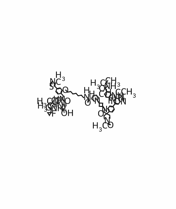 CC(=O)N1CCC2(CC1)C(=O)N(C1CC(N3CCC[C@@H](C(=O)NCCCCCCCOc4cc(-c5scnc5C)ccc4CNC(=O)[C@@H]4C[C@@H](O)CN4C(=O)[C@@H](NC(=O)C4(F)CC4)C(C)(C)C)C3)C1)c1cc(-c3cc4ncn(C(C)C)c4c(Nc4cc(C(=O)NC(C)C)c(C)cc4F)n3)ccc12